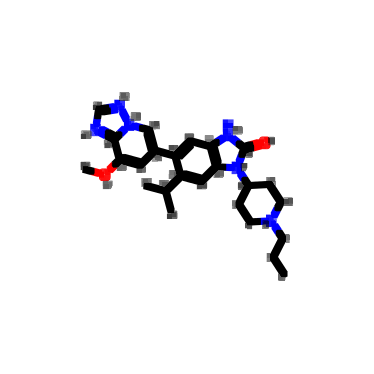 CCCN1CCC(n2c(=O)[nH]c3cc(-c4cc(OC)c5ncnn5c4)c(C(C)C)cc32)CC1